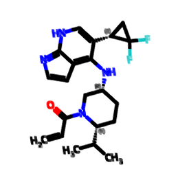 C=CC(=O)N1C[C@H](Nc2c3ccnc-3[nH]cc2[C@@H]2CC2(F)F)CC[C@@H]1C(C)C